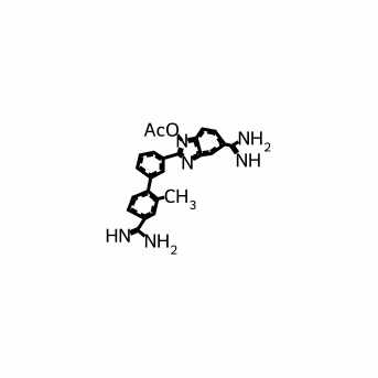 CC(=O)On1c(-c2cccc(-c3ccc(C(=N)N)cc3C)c2)nc2cc(C(=N)N)ccc21